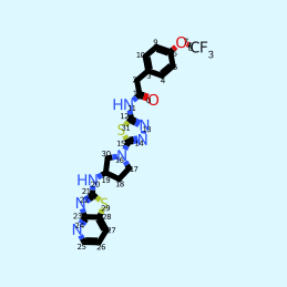 O=C(Cc1ccc(OC(F)(F)F)cc1)Nc1nnc(N2CCC(Nc3nc4ncccc4s3)C2)s1